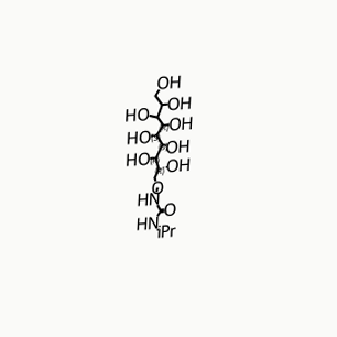 CC(C)NC(=O)NOC[C@@H](O)[C@@H](O)[C@H](O)[C@@H](O)[C@H](O)C(O)C(O)CO